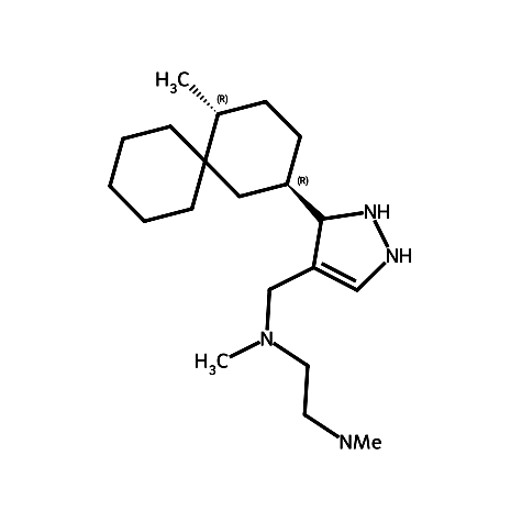 CNCCN(C)CC1=CNNC1[C@@H]1CC[C@@H](C)C2(CCCCC2)C1